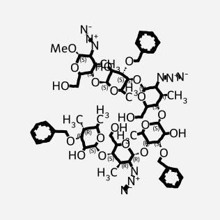 CO[C@H]1OC(CO)[C@@H](O[C@@H]2OC(C)[C@H](O[C@@H]3OC(CO)[C@@H](O[C@@H]4OC(C)[C@@H](O[C@H]5OC(CO)[C@@H](O[C@@H]6OC(C)[C@@H](C)[C@@H](OCc7ccccc7)C6O)[C@H](C)C5N=[N+]=[N-])[C@@H](OCc5ccccc5)C4O)[C@H](C)C3N=[N+]=[N-])[C@@H](OCc3ccccc3)C2O)[C@H](C)C1N=[N+]=[N-]